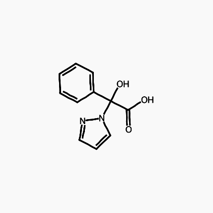 O=C(O)C(O)(c1ccccc1)n1cccn1